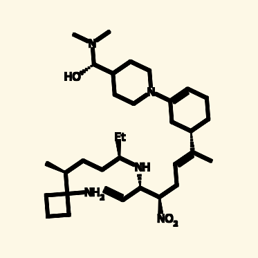 C=C[C@H](N[C@H](CC)CC[C@H](C)C1(N)CCC1)[C@@H](C/C=C(\C)[C@H]1CCC=C(N2CCC([C@H](O)N(C)C)CC2)C1)[N+](=O)[O-]